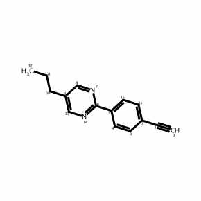 C#Cc1ccc(-c2ncc(CCC)cn2)cc1